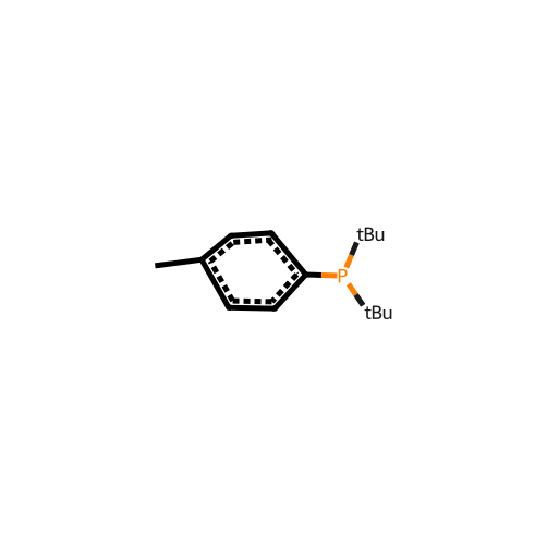 Cc1ccc(P(C(C)(C)C)C(C)(C)C)cc1